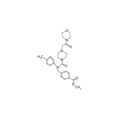 COC(=O)c1ccc(CN(C(=O)N2CCN(CC(=O)N3CCOCC3)CC2)c2ccc(C)cc2)cc1